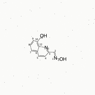 ON=Cc1ccc2cccc(O)c2n1